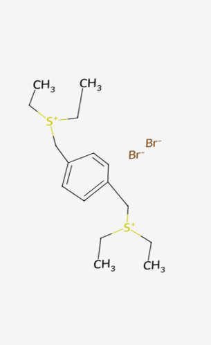 CC[S+](CC)Cc1ccc(C[S+](CC)CC)cc1.[Br-].[Br-]